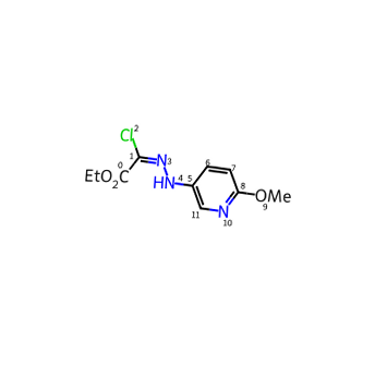 CCOC(=O)/C(Cl)=N\Nc1ccc(OC)nc1